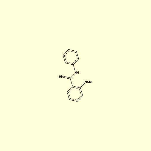 CNc1ccccc1C(=N)Nc1ccccc1